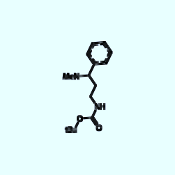 CNC(CCNC(=O)OC(C)(C)C)c1ccccc1